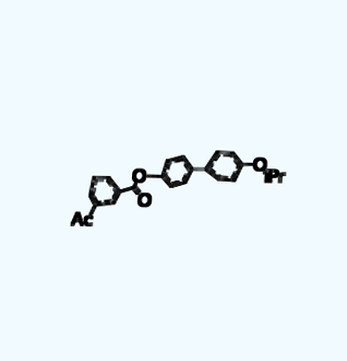 CC(=O)c1cccc(C(=O)Oc2ccc(-c3ccc(OC(C)C)cc3)cc2)c1